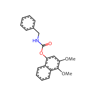 COc1cc(OC(=O)NCc2ccccc2)c2ccccc2c1OC